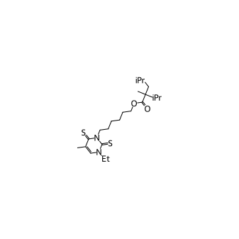 CCn1cc(C)c(=S)n(CCCCCCOC(=O)C(C)(CC(C)C)C(C)C)c1=S